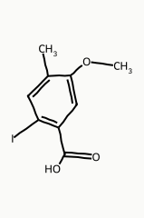 COc1cc(C(=O)O)c(I)cc1C